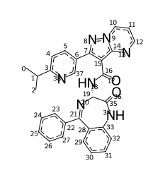 CC(C)c1ccc(-c2nn3cccnc3c2C(=O)N[C@H]2N=C(c3ccccc3)c3ccccc3NC2=O)cn1